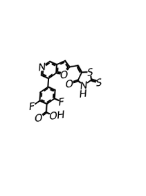 O=C1NC(=S)SC1=Cc1cc2cncc(-c3cc(F)c(C(=O)O)c(F)c3)c2o1